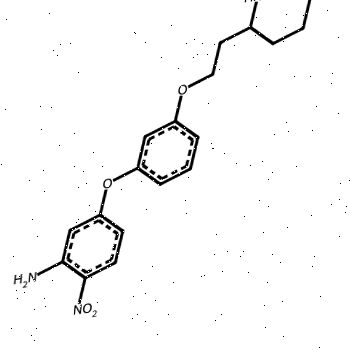 Nc1cc(Oc2cccc(OCCC3CCCCN3)c2)ccc1[N+](=O)[O-]